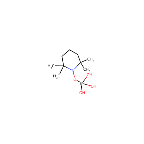 CC1(C)CCCC(C)(C)N1O[Si](O)(O)O